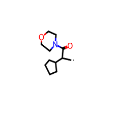 [CH2]C(C(=O)N1CCOCC1)C1CCCC1